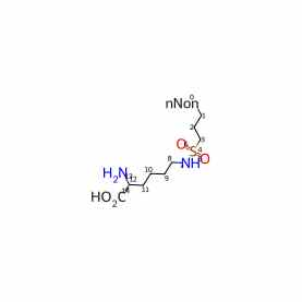 CCCCCCCCCCCCS(=O)(=O)NCCCC[C@H](N)C(=O)O